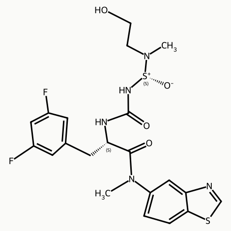 CN(C(=O)[C@H](Cc1cc(F)cc(F)c1)NC(=O)N[S@@+]([O-])N(C)CCO)c1ccc2scnc2c1